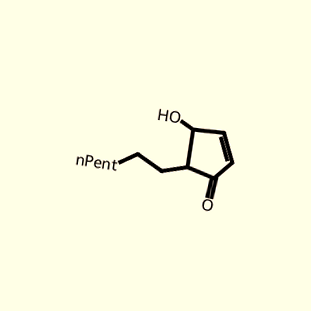 CCCCCCCC1C(=O)C=CC1O